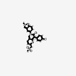 Cn1cc2cc(-n3cc4ccc(CS(C)(=O)=O)nc4c(-c4ccc(Cl)cc4)c3=O)ccc2n1